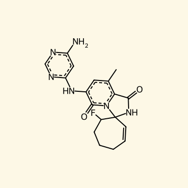 Cc1cc(Nc2cc(N)ncn2)c(=O)n2c1C(=O)NC21C=CCCCC1F